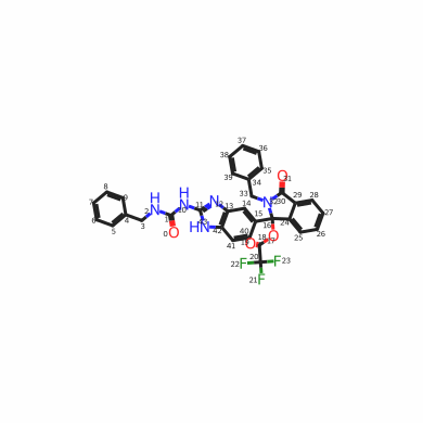 O=C(NCc1ccccc1)Nc1nc2cc(C3(OC(=O)C(F)(F)F)c4ccccc4C(=O)N3Cc3ccccc3)ccc2[nH]1